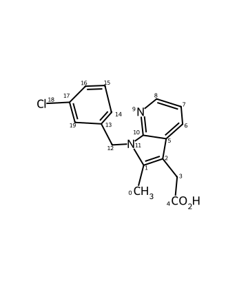 Cc1c(CC(=O)O)c2cccnc2n1Cc1cccc(Cl)c1